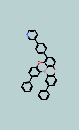 c1ccc(-c2ccc3c(c2)B2c4cc(-c5ccccc5)ccc4Oc4c(-c5ccc(-c6cccnc6)cc5)ccc(c42)O3)cc1